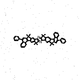 CC1(C)c2cc3c(cc2-c2c1cc(-c1ccccc1)c1ccccc21)C(C)(C)c1nc2c(nc1-3)C(C)(C)c1cc3c(cc1-2)C(C)(C)c1cc(-c2ccccc2)c2ccccc2c1-3